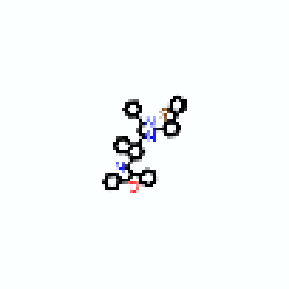 c1ccc(-c2cc(-c3ccc(-c4nc5ccccc5c5oc6ccccc6c45)c4ccccc34)nc(-c3cccc4c3sc3ccccc34)n2)cc1